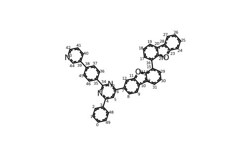 c1ccc(-c2cc(-c3ccc4c(c3)oc3c(-c5cccc6c5oc5ccccc56)cccc34)nc(-c3ccc(-c4cccnc4)cc3)n2)cc1